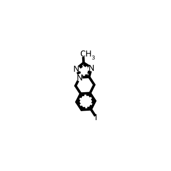 Cc1nc2n(n1)Cc1ccc(I)cc1C2